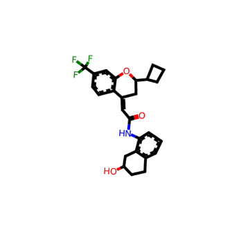 O=C(C=C1CC(C2CCC2)Oc2cc(C(F)(F)F)ccc21)Nc1cccc2c1CC(O)CC2